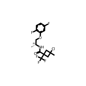 C[C@H](COc1cc(F)ccc1F)NC(=O)C1(C(F)(F)F)CC(C)(Cl)C1